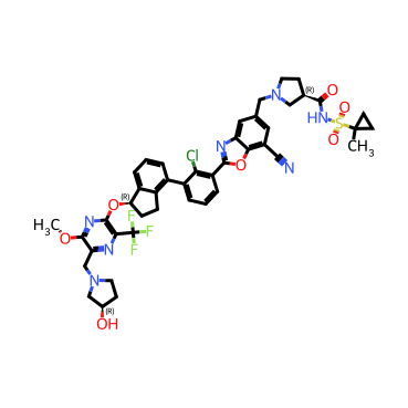 COc1nc(O[C@@H]2CCc3c(-c4cccc(-c5nc6cc(CN7CC[C@@H](C(=O)NS(=O)(=O)C8(C)CC8)C7)cc(C#N)c6o5)c4Cl)cccc32)c(C(F)(F)F)nc1CN1CC[C@@H](O)C1